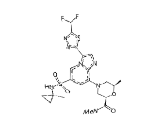 CNC(=O)[C@H]1CN(c2cc(S(=O)(=O)NC3(C)CC3)cn3c(-c4nnc(C(F)F)s4)cnc23)C[C@@H](C)O1